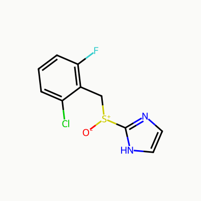 [O-][S+](Cc1c(F)cccc1Cl)c1ncc[nH]1